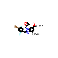 COC(=O)c1cc(OC)c2nc(Cc3cc(F)c(Br)cc3F)n(C[C@@H]3CCO3)c2c1